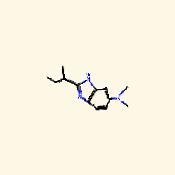 CCC(C)c1nc2ccc(N(C)C)cc2[nH]1